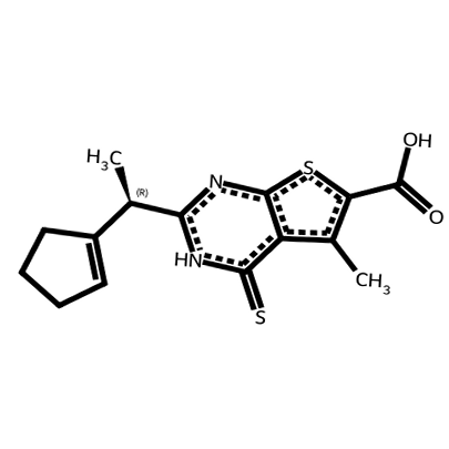 Cc1c(C(=O)O)sc2nc([C@H](C)C3=CCCC3)[nH]c(=S)c12